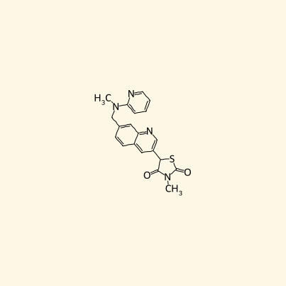 CN1C(=O)SC(c2cnc3cc(CN(C)c4ccccn4)ccc3c2)C1=O